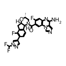 C[C@@H]1CN(C(=O)c2cc3c(cc2F)nc(N)c2cncn23)[C@H]2c3ccc(-c4cnn(C(F)F)c4)c(F)c3C[C@H]2O1